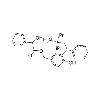 CC(C)C(N)(CC(c1ccccc1)c1cc(COC(=O)C(O)c2ccccc2)ccc1O)C(C)C